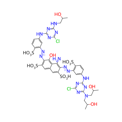 CC(O)CNc1nc(Cl)nc(Nc2ccc(S(=O)(=O)O)c(/N=N/c3c(S(=O)(=O)O)cc4cc(S(=O)(=O)O)c(/N=N/c5cc(Nc6nc(Cl)nc(N(CC(C)O)CC(C)O)n6)ccc5S(=O)(=O)O)c(N)c4c3O)c2)n1